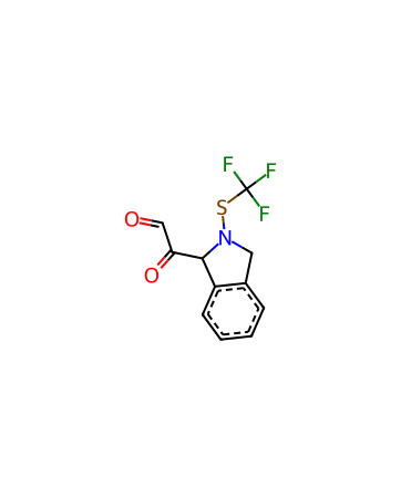 O=CC(=O)C1c2ccccc2CN1SC(F)(F)F